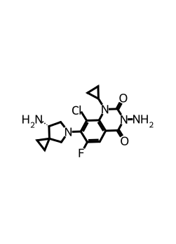 N[C@@H]1CN(c2c(F)cc3c(=O)n(N)c(=O)n(C4CC4)c3c2Cl)CC12CC2